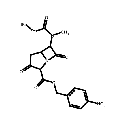 CN(C(=O)OC(C)(C)C)C1C(=O)N2C(C(=O)OCc3ccc([N+](=O)[O-])cc3)C(=O)CC12